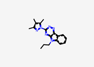 CCCn1c2ccccc2c2nnc(-n3nc(C)c(C)c3C)nc21